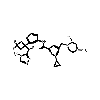 CC(C)[C@H]1CN(C)CCN1Cc1cc(C(=O)Nc2cccc(C3([C@@H](F)c4nncn4C)CC(F)(F)C3)c2)nc(C2CC2)c1